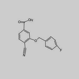 N#Cc1ccc(C(=O)O)cc1OCc1ccc(F)cc1